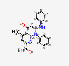 CCC(=O)c1cc(C)c2c(=O)cc(Nc3ccccc3)n(-c3ccccc3)c2n1